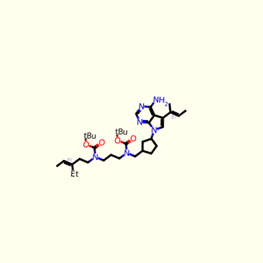 C/C=C(\CC)CCN(CCCN(CC1CCC(n2cc(/C(C)=C/C)c3c(N)ncnc32)C1)C(=O)OC(C)(C)C)C(=O)OC(C)(C)C